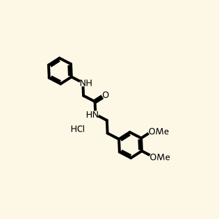 COc1ccc(CCNC(=O)CNc2ccccc2)cc1OC.Cl